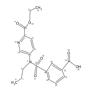 CCCN(c1ccc(C(=O)OCC)nc1)S(=O)(=O)c1cccc(C(=O)O)c1